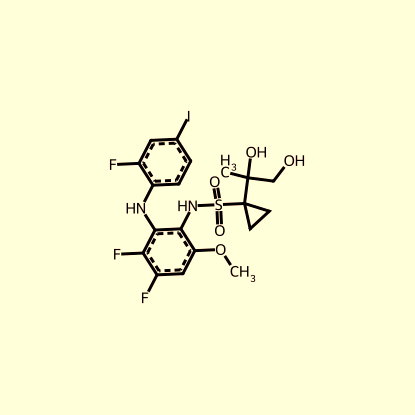 COc1cc(F)c(F)c(Nc2ccc(I)cc2F)c1NS(=O)(=O)C1(C(C)(O)CO)CC1